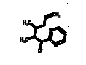 C=CCC(C)C(C)[S+]([O-])c1ncccn1